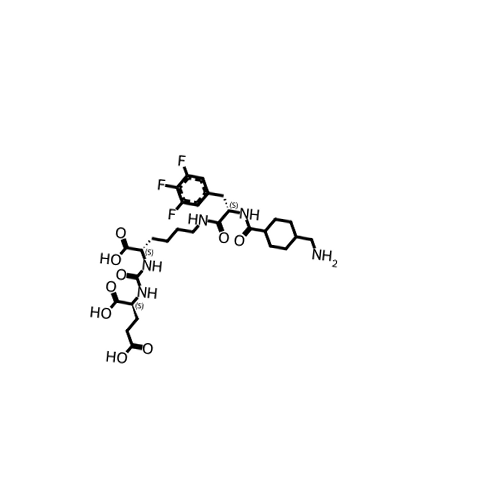 NCC1CCC(C(=O)N[C@@H](Cc2cc(F)c(F)c(F)c2)C(=O)NCCCC[C@H](NC(=O)N[C@@H](CCC(=O)O)C(=O)O)C(=O)O)CC1